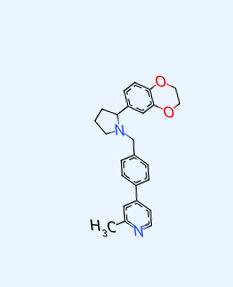 Cc1cc(-c2ccc(CN3CCCC3c3ccc4c(c3)OCCO4)cc2)ccn1